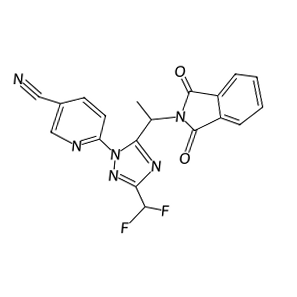 CC(c1nc(C(F)F)nn1-c1ccc(C#N)cn1)N1C(=O)c2ccccc2C1=O